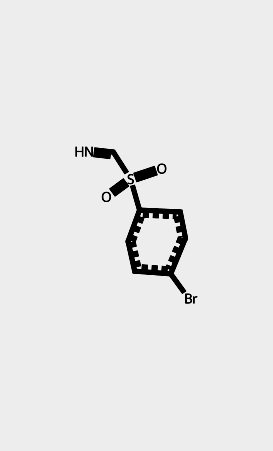 N=CS(=O)(=O)c1ccc(Br)cc1